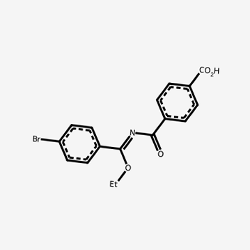 CCOC(=NC(=O)c1ccc(C(=O)O)cc1)c1ccc(Br)cc1